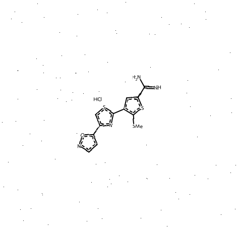 CSc1sc(C(=N)N)cc1-c1nc(-c2ccno2)cs1.Cl